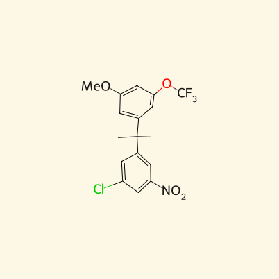 COc1cc(OC(F)(F)F)cc(C(C)(C)c2cc(Cl)cc([N+](=O)[O-])c2)c1